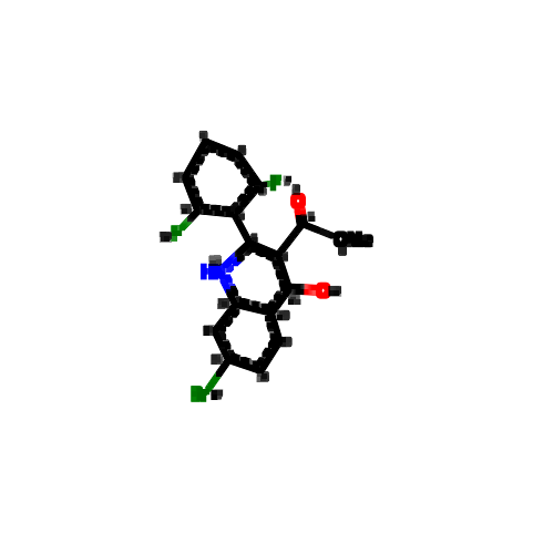 COC(=O)c1c(-c2c(F)cccc2F)[nH]c2cc(Br)ccc2c1=O